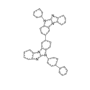 c1ccc(-c2ccc(-n3c4ccc(-c5ccc6c(c5)n5c7ccccc7nc5n6-c5ccccc5)cc4n4c5ccccc5nc34)cc2)cc1